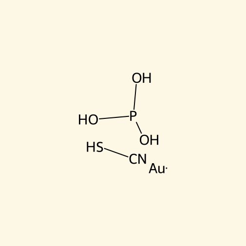 N#CS.OP(O)O.[Au]